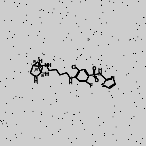 C[C@@H]1C[C@H]2NCC1[C@@H]2NCCCCNc1cc(F)c(S(=O)(=O)Nc2nccs2)cc1Cl